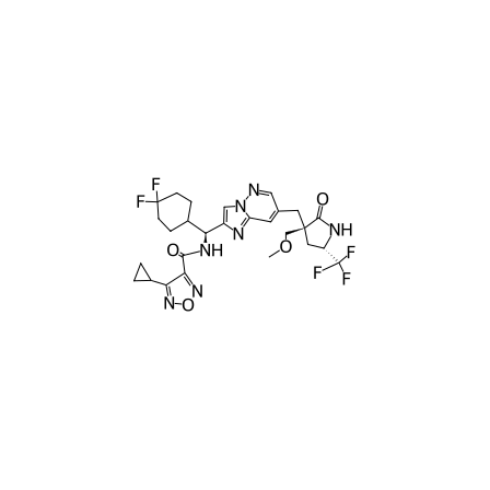 COC[C@]1(Cc2cnn3cc([C@@H](NC(=O)c4nonc4C4CC4)C4CCC(F)(F)CC4)nc3c2)C[C@@H](C(F)(F)F)NC1=O